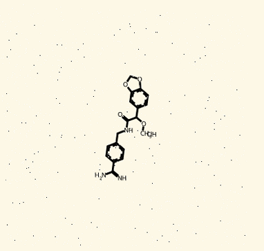 COC(C(=O)NCc1ccc(C(=N)N)cc1)c1ccc2c(c1)OCO2.Cl